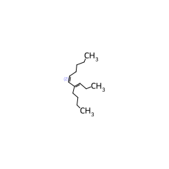 CCC=C(/C=C\CCCC)CCCC